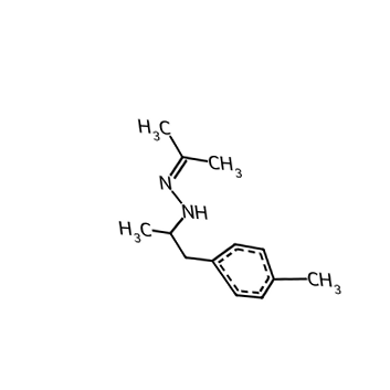 CC(C)=NNC(C)Cc1ccc(C)cc1